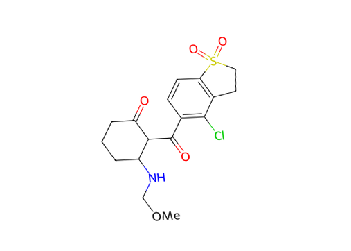 COCNC1CCCC(=O)C1C(=O)c1ccc2c(c1Cl)CCS2(=O)=O